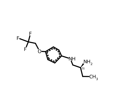 CC[C@H](N)CNc1ccc(OCC(F)(F)F)cc1